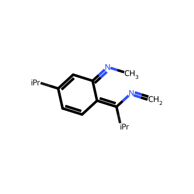 C=N/C(=C1/C=CC(C(C)C)=C/C1=N/C)C(C)C